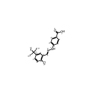 O=C(O)c1ccc(NN=Cc2cc(C(F)(F)F)ccc2Cl)cc1